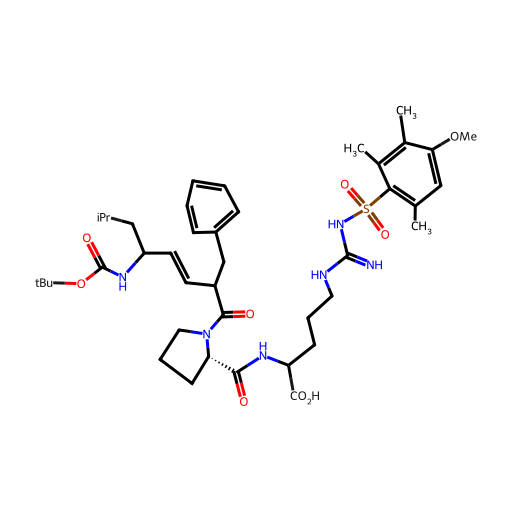 COc1cc(C)c(S(=O)(=O)NC(=N)NCCCC(NC(=O)[C@@H]2CCCN2C(=O)C(/C=C/C(CC(C)C)NC(=O)OC(C)(C)C)Cc2ccccc2)C(=O)O)c(C)c1C